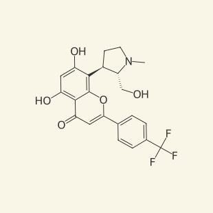 CN1CC[C@H](c2c(O)cc(O)c3c(=O)cc(-c4ccc(C(F)(F)F)cc4)oc23)[C@H]1CO